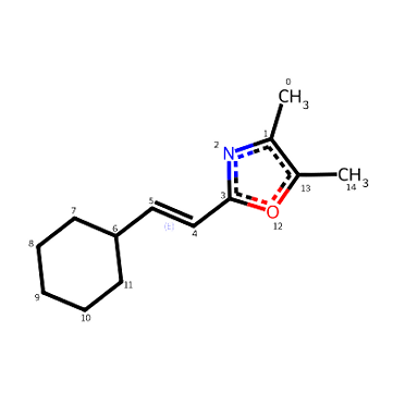 Cc1nc(/C=C/C2CCCCC2)oc1C